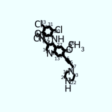 COc1cc(Nc2c(C#N)cnc3cc(C#CCN4CCNCC4)c(OC)cc23)c(Cl)cc1Cl